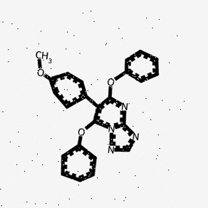 COc1ccc(-c2c(Oc3ccccc3)nc3ncnn3c2Oc2ccccc2)cc1